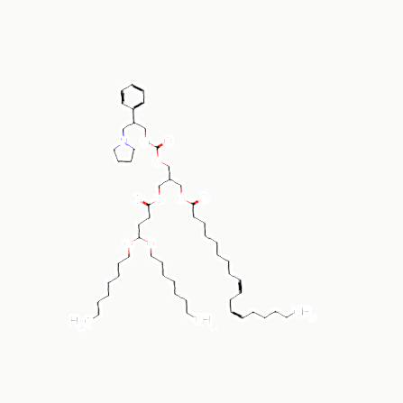 CCCCC/C=C\C/C=C\CCCCCCCC(=O)OCC(COC(=O)CCC(OCCCCCCCC)OCCCCCCCC)COC(=O)OCC(CN1CCCC1)c1ccccc1